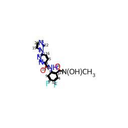 CN(O)C(=O)c1cc(F)c(F)cc1NC(=O)c1ccc(-n2ccnc2)nn1